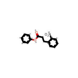 O=C(CCc1ccccc1[N+](=O)[O-])Oc1ccccc1